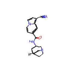 N#Cc1ccn2ccc(C(=O)N[C@@H]3C[C@H]4CCN(C4)C3)cc12